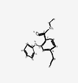 CCOC(=O)c1ccc(CC)cc1Oc1ccccc1